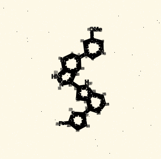 COc1cncc(-c2cnc3[nH]nc(-c4cc5c(-c6ccc(F)s6)cccc5[nH]4)c3c2)c1